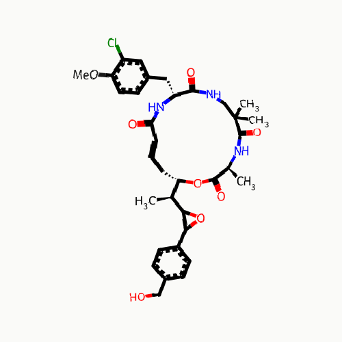 COc1ccc(C[C@H]2NC(=O)/C=C/C[C@@H]([C@H](C)C3OC3c3ccc(CO)cc3)OC(=O)[C@H](C)NC(=O)C(C)(C)CNC2=O)cc1Cl